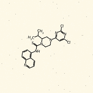 CC(C)C1CN(c2cc(Cl)nc(Cl)n2)CCN1C(=S)Nc1cccc2ncccc12